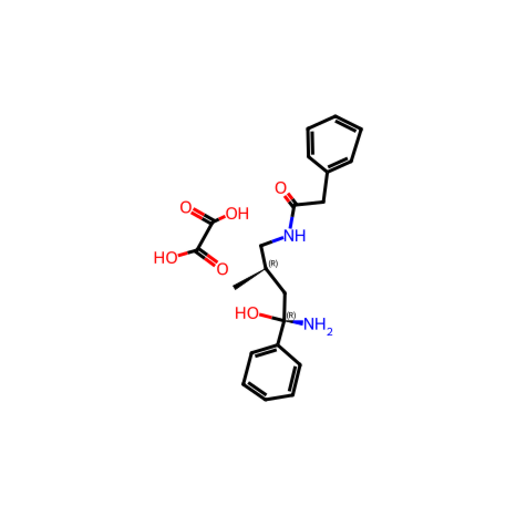 C[C@@H](CNC(=O)Cc1ccccc1)C[C@@](N)(O)c1ccccc1.O=C(O)C(=O)O